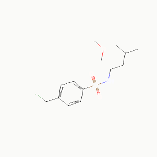 COC[C@H](CC(C)C)NS(=O)(=O)c1ccc(CBr)cc1